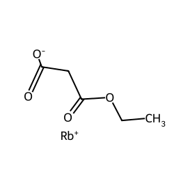 CCOC(=O)CC(=O)[O-].[Rb+]